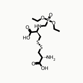 CCOP(=O)(CN[C@@H](CSSC[C@H](N)C(=O)O)C(=O)O)OCC